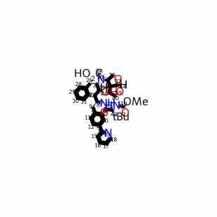 COC(=O)N[C@H](C(=O)N[C@H](Cc1ccc(-c2ccccn2)cc1)C[C@H](O)[C@H](Cc1ccccc1)N(C(=O)O)[C@H]1CO[C@@H]2OCC[C@@H]21)C(C)(C)C